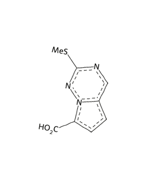 CSc1ncc2ccc(C(=O)O)n2n1